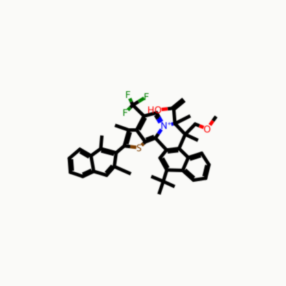 C=C(O)C1(C)[n+]2cc(C(F)(F)F)c3c(C)c(-c4c(C)cc5ccccc5c4C)sc3c2-c2cc(C(C)(C)C)c3ccccc3c2C1(C)COC